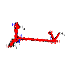 CCCCCCCCCCCN(C(=O)CCCCCCCCCC(=O)O)C(CCC(=O)NCCOCCOCCOCCOCCOCCOCCOCCOCCOCCOCCOCCOCCC(=O)NCC(=O)NCn1c(-c2ccc(CCN3CCC4(CC3)CCN(C(=O)c3ccc(OC)c(N5CCC(=O)NC5=O)c3)CC4)cc2)cc2c(-c3cc(F)cc(NC(=O)c4ccc(C(C)(C)O)cc4F)c3C)ncnc21)C(=O)O